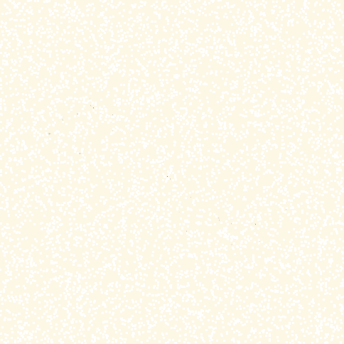 O=C(NCc1cccc(S(=O)(=O)N2CCOCC2)c1)c1csc(-c2c[nH]c3ncccc23)c1